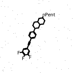 CCCCCC1CCC2CC(c3ccc(C#Cc4cc(F)c(F)c(F)c4)cc3)CCC2C1